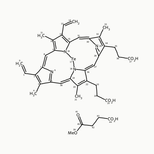 C=CC1=C(C)C2=NC/1=C\c1c(C)c(C=C)c3[n]1[Fe][n]1/c(c(C)c(CCC(=O)O)/c1=C/C1=NC(=C\3)/C(C)=C1CCC(=O)O)=C\2.COC(=O)CCC(=O)O